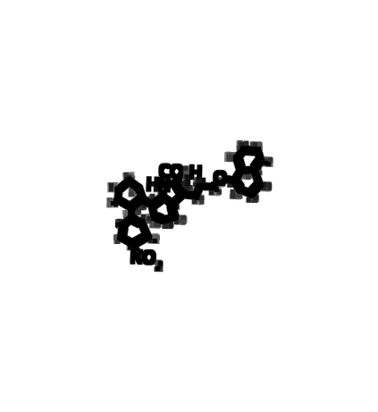 O=C(O)c1[nH]c2c(C3=C(c4ccc([N+](=O)[O-])cc4)CCCC3)cccc2c1CCCOc1cccc2ccccc12